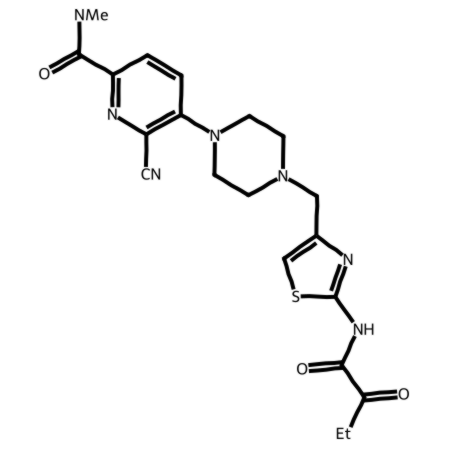 CCC(=O)C(=O)Nc1nc(CN2CCN(c3ccc(C(=O)NC)nc3C#N)CC2)cs1